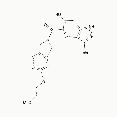 CCCCc1n[nH]c2cc(O)c(C(=O)N3Cc4ccc(OCCOC)cc4C3)cc12